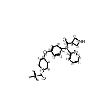 CC(C)(C)C(=O)N1CCC(Oc2ccc(N(C(=O)C3CNC3)c3cccnn3)cc2)CC1